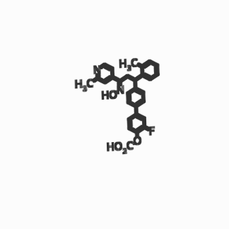 Cc1cc(C(CC(c2ccc(-c3ccc(OC(=O)O)c(F)c3)cc2)c2ccccc2C)=NO)ccn1